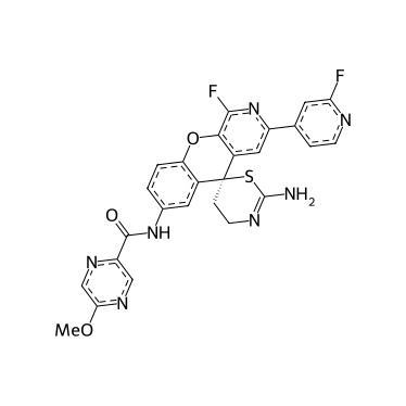 COc1cnc(C(=O)Nc2ccc3c(c2)[C@@]2(CCN=C(N)S2)c2cc(-c4ccnc(F)c4)nc(F)c2O3)cn1